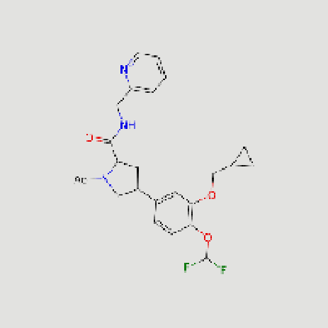 CC(=O)N1CC(c2ccc(OC(F)F)c(OCC3CC3)c2)CC1C(=O)NCc1ccccn1